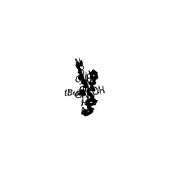 C[C@H](NC(=O)OCc1cncs1)C(=O)NC(Cc1ccccc1)C(O)CC(Cc1ccc(-c2ccccn2)cc1)NC(=O)OC(C)(C)C